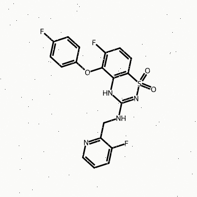 O=S1(=O)N=C(NCc2ncccc2F)Nc2c1ccc(F)c2Oc1ccc(F)cc1